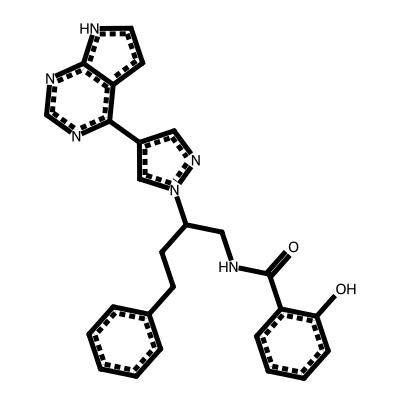 O=C(NCC(CCc1ccccc1)n1cc(-c2ncnc3[nH]ccc23)cn1)c1ccccc1O